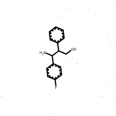 NC(c1ccc(F)cc1)C(CO)c1ccccc1